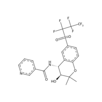 CC1(C)Oc2ccc(S(=O)(=O)C(F)(F)C(F)(F)C(F)(F)F)cc2[C@@H](NC(=O)c2cccnc2)[C@@H]1O